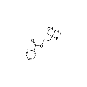 CC(F)(CO)CCOC(=O)c1ccccc1